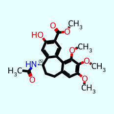 COC(=O)c1cc2c(cc1O)[C@@H](NC(C)=O)CCc1cc(OC)c(OC)c(OC)c1-2